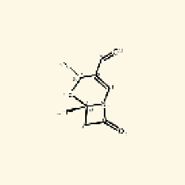 C[C@H]1S[C@H]2CC(=O)N2C=C1C=O